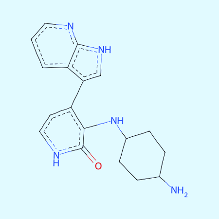 NC1CCC(Nc2c(-c3c[nH]c4ncccc34)cc[nH]c2=O)CC1